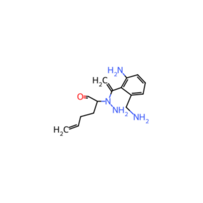 C=CCCC(C=O)N(N)C(=C)c1c(N)cccc1CN